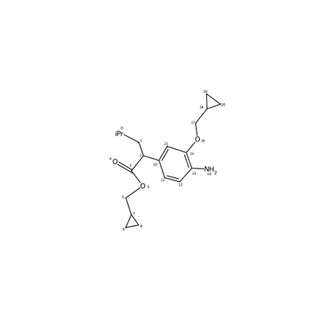 CC(C)CC(C(=O)OCC1CC1)c1ccc(N)c(OCC2CC2)c1